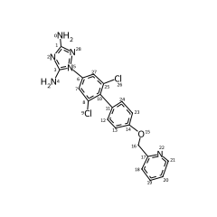 Nc1nc(N)n(-c2cc(Cl)c(-c3ccc(OCc4ccccn4)cc3)c(Cl)c2)n1